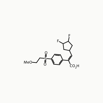 COCCS(=O)(=O)c1ccc(/C(=C\C2CC(F)C(F)C2)C(=O)O)cc1